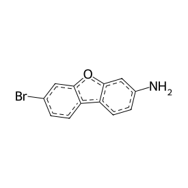 Nc1ccc2c(c1)oc1cc(Br)ccc12